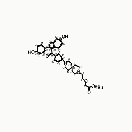 CC(C)(C)OC(=O)COCCN1CCC2(CC1)CCN(c1ccc(C(=O)c3c(-c4ccc(O)cc4)sc4cc(O)ccc34)cc1)CC2